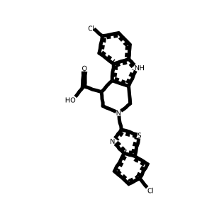 O=C(O)C1CN(c2nc3ccc(Cl)cc3s2)Cc2[nH]c3ccc(Cl)cc3c21